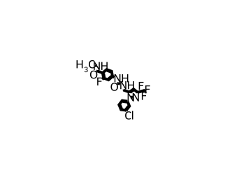 CNC(=O)c1ccc(NC(=O)NCc2cc(C(F)(F)F)nn2-c2cccc(Cl)c2)cc1F